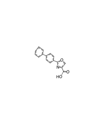 O=C(O)c1coc(-c2ccc(-c3ccccc3)cc2)n1